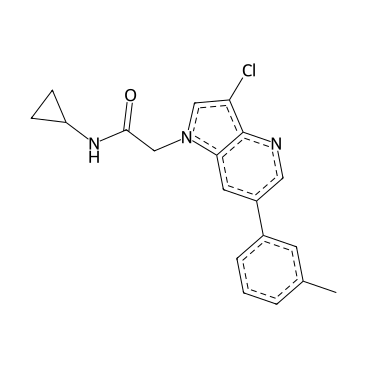 Cc1cccc(-c2cnc3c(Cl)cn(CC(=O)NC4CC4)c3c2)c1